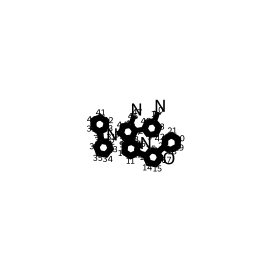 N#Cc1ccc(-n2c3ccccc3c3ccc4oc5ccccc5c4c32)c(-c2ccc(-n3c4ccccc4c4ccccc43)cc2C#N)c1